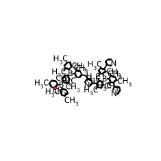 Cc1cc(C)c(B(c2ccc(B(c3c(C)cc(C)cc3C)c3c(C)cc(Cc4cncc(-c5c(C)cc(C)c(B(c6c(C)cc(C)c(-c7cccnc7)c6C)c6c(C)cc(C)c(-c7cccnc7)c6C)c5C)c4)cc3C)cc2)c2c(C)cc(C)cc2C)c(C)c1